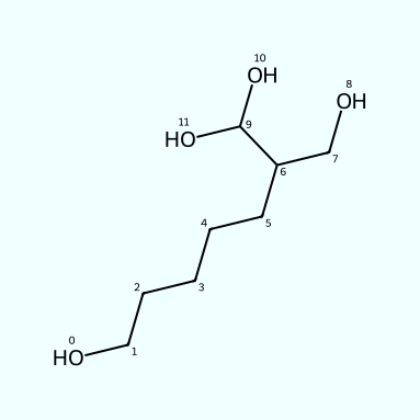 OCCCCCC(CO)C(O)O